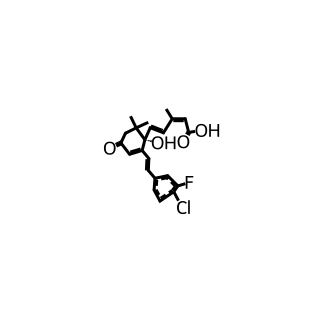 CC(=C/C(=O)O)/C=C/[C@@]1(O)C(/C=C/c2ccc(Cl)c(F)c2)=CC(=O)CC1(C)C